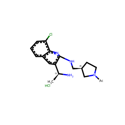 CC(=O)N1CC[C@H](CNc2nc3c(Cl)cccc3cc2[C@H](C)N)C1.Cl